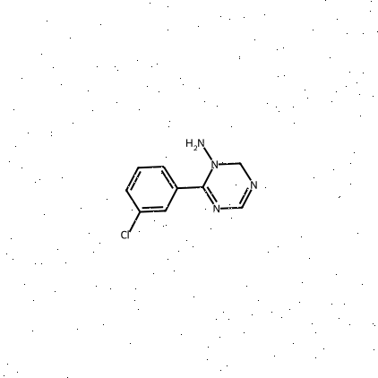 NN1CN=CN=C1c1cccc(Cl)c1